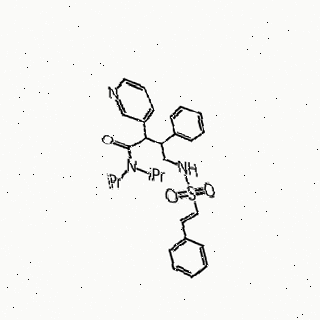 CC(C)N(C(=O)C(c1cccnc1)C(CNS(=O)(=O)C=Cc1ccccc1)c1ccccc1)C(C)C